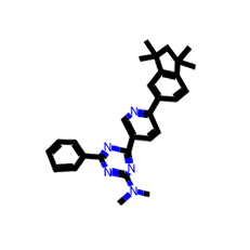 CN(C)c1nc(-c2ccccc2)nc(-c2ccc(-c3ccc4c(c3)C(C)(C)CC4(C)C)nc2)n1